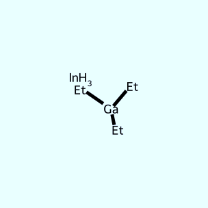 C[CH2][Ga]([CH2]C)[CH2]C.[InH3]